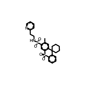 Cc1cc2c(cc1S(=O)(=O)NCCc1ccccn1)S(=O)(=O)c1ccccc1C21CCCCC1